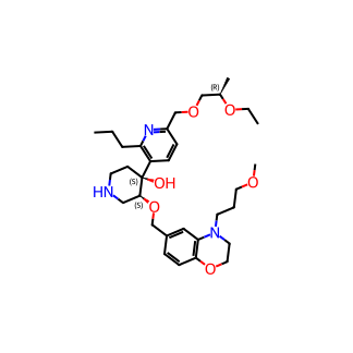 CCCc1nc(COC[C@@H](C)OCC)ccc1[C@@]1(O)CCNC[C@@H]1OCc1ccc2c(c1)N(CCCOC)CCO2